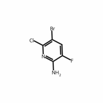 Nc1nc(Cl)c(Br)cc1F